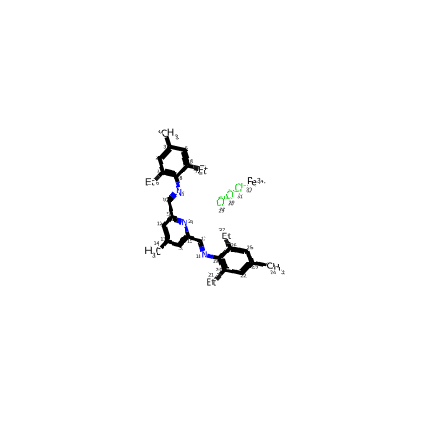 CCc1cc(C)cc(CC)c1N=Cc1cc(C)cc(C=Nc2c(CC)cc(C)cc2CC)n1.[Cl-].[Cl-].[Cl-].[Fe+3]